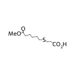 COC(=O)CCCCCSCCC(=O)O